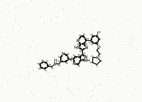 Fc1cc(OCCN2CCCC2)cc(-c2ccnc3[nH]c(-c4n[nH]c5cnc(-c6cncc(CNCc7ccccc7)c6)cc45)nc23)c1